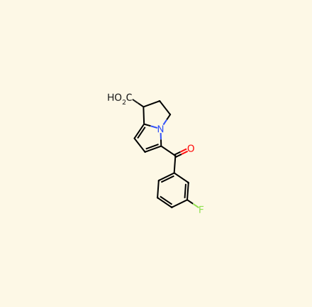 O=C(c1cccc(F)c1)c1ccc2n1CCC2C(=O)O